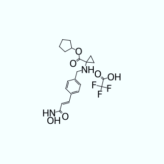 O=C(C=Cc1ccc(CNC2(C(=O)OC3CCCC3)CC2)cc1)NO.O=C(O)C(F)(F)F